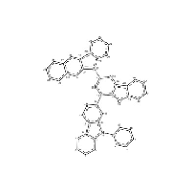 c1ccc(-n2c3ccccc3c3ccc(-c4nc(-n5c6ccccc6c6cc7ccccc7cc65)nc5c4oc4ccccc45)cc32)cc1